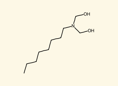 CCCCCCCCN(CO)CO